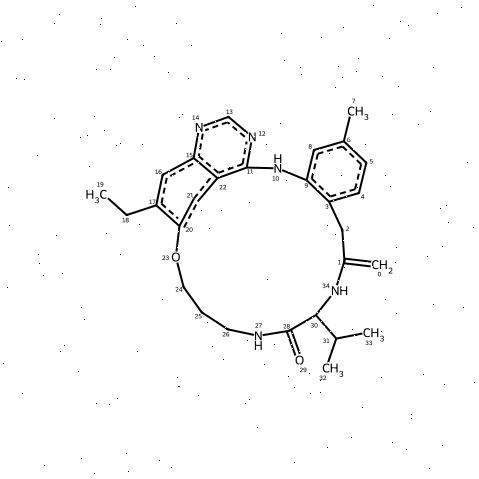 C=C1Cc2ccc(C)cc2Nc2ncnc3cc(CC)c(cc23)OCCCNC(=O)C(C(C)C)N1